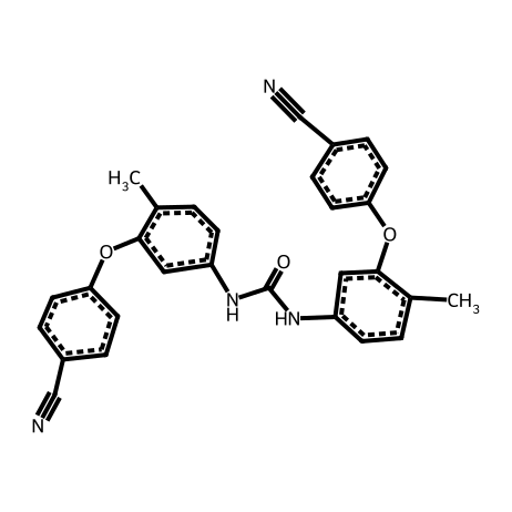 Cc1ccc(NC(=O)Nc2ccc(C)c(Oc3ccc(C#N)cc3)c2)cc1Oc1ccc(C#N)cc1